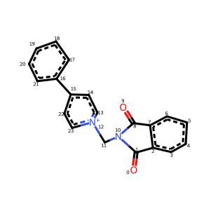 O=C1c2ccccc2C(=O)N1C[n+]1ccc(-c2ccccc2)cc1